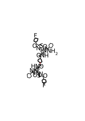 N[C@H](C(=O)N1C[C@@H](NC(=O)c2ccc(C(=O)N[C@H]3C[C@@H](c4nc(C(=O)c5ccc(F)cc5)cs4)N(C(=O)[C@@H](N)C4CCCCC4)C3)cc2)C[C@H]1c1nc(C(=O)c2ccc(F)cc2)cs1)C1CCCCC1